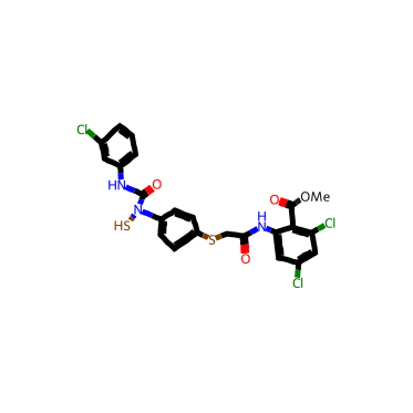 COC(=O)c1c(Cl)cc(Cl)cc1NC(=O)CSc1ccc(N(S)C(=O)Nc2cccc(Cl)c2)cc1